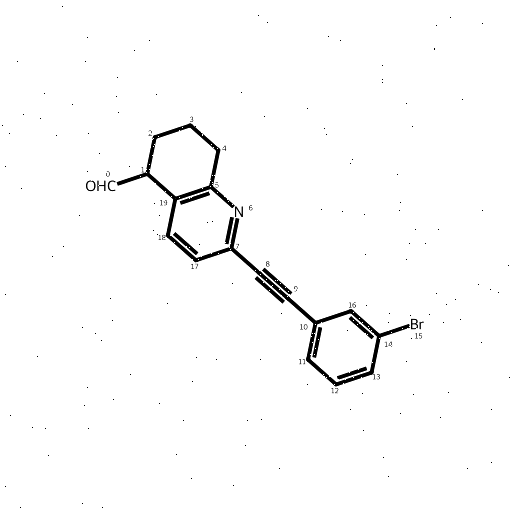 O=CC1CCCc2nc(C#Cc3cccc(Br)c3)ccc21